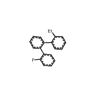 CCc1ccccc1-c1ccccc1-c1ccccc1F